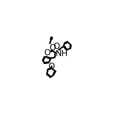 C#CCOC(=O)C(Cc1ccccc1Oc1ccccc1)NC(=O)c1ccccc1